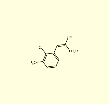 CCOC(=O)/C(C#N)=C\c1cccc(C(F)(F)F)c1Cl